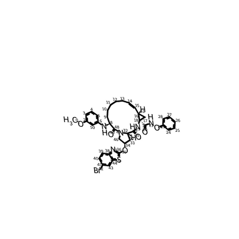 COc1cccc(N[C@H]2CCCCC/C=C\[C@@H]3C[C@@]3(C(=O)NOc3ccccc3)NC(=O)[C@@H]3C[C@@H](Oc4nc5ccc(Br)cc5s4)CN3C2=O)c1